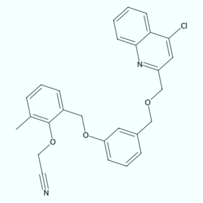 Cc1cccc(COc2cccc(COCc3cc(Cl)c4ccccc4n3)c2)c1OCC#N